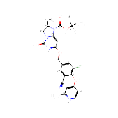 Cc1cc(Oc2c(F)cc(COc3cc4n(c(=O)n3)C[C@@H](C)N4C(=O)OC(C)(C)C)cc2C#N)ccn1